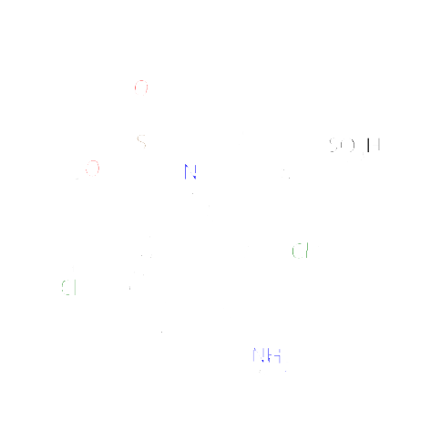 Nc1cc(Cl)ccc1Cl.O=S(=O)=NCCS(=O)(=O)O